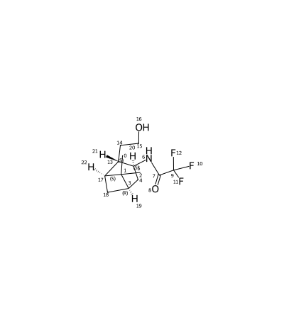 CC1(C)[C@H]2C[C@H](NC(=O)C(F)(F)F)[C@@H](CCO)[C@@H]1C2